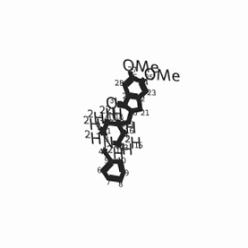 [2H]C1([2H])N(Cc2ccccc2)C([2H])([2H])C([2H])([2H])C([2H])(CC2Cc3cc(OC)c(OC)cc3C2=O)C1([2H])[2H]